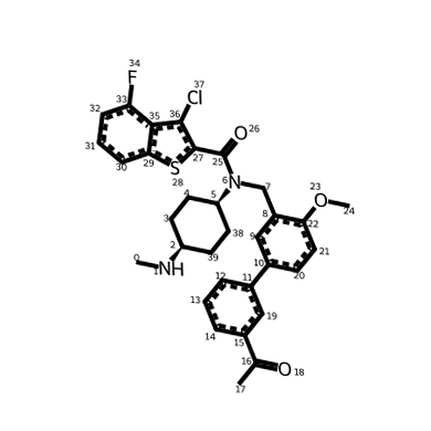 CN[C@H]1CC[C@@H](N(Cc2cc(-c3cccc(C(C)=O)c3)ccc2OC)C(=O)c2sc3cccc(F)c3c2Cl)CC1